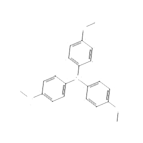 COc1ccc(N(c2ccc(OC)cc2)c2ccc(OC)cc2)cc1